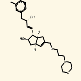 Cc1cccc(C[C@H](O)/C=C/[C@@H]2[C@H]3CC(COCCCN4CCOCC4)=C[C@H]3C[C@H]2O)c1